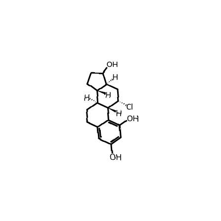 Oc1cc(O)c2c(c1)CC[C@H]1[C@@H]3CCC(O)[C@H]3C[C@H](Cl)[C@H]21